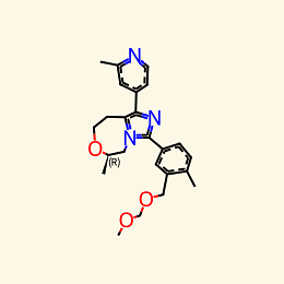 COCOCc1cc(-c2nc(-c3ccnc(C)c3)c3n2C[C@@H](C)OCC3)ccc1C